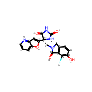 O=C1NC(=O)[C@](CN2Cc3ccc(O)c(F)c3C2=O)(c2cc3ncccc3o2)N1